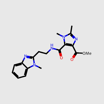 COC(=O)c1nc(C)n(C)c1C(=O)NCCc1nc2ccccc2n1C